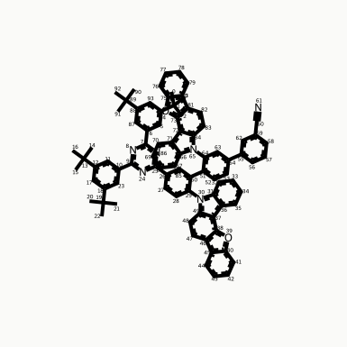 CC(C)(C)c1cc(-c2nc(-c3cc(C(C)(C)C)cc(C(C)(C)C)c3)nc(-c3ccc(-n4c5ccccc5c5c6oc7ccccc7c6ccc54)c(-c4ccc(-c5cccc(C#N)c5)cc4-n4c5ccccc5c5c6oc7ccccc7c6ccc54)c3)n2)cc(C(C)(C)C)c1